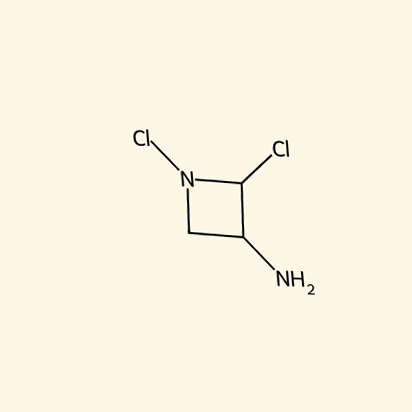 NC1CN(Cl)C1Cl